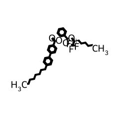 CCCCCCCCc1ccc(-c2ccc(C(=O)Oc3ccccc3C(=O)O[C@@H](CCCCCC)C(F)(F)F)cc2)cc1